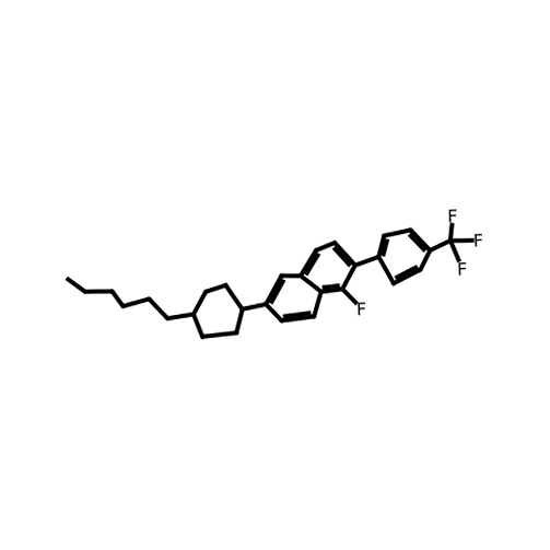 CCCCCCC1CCC(c2ccc3c(F)c(-c4ccc(C(F)(F)F)cc4)ccc3c2)CC1